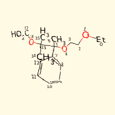 CCOCCOC(C)(c1ccccc1)C(C)(C)OC(=O)O